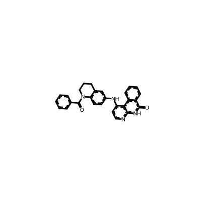 O=C(c1ccccc1)N1CCCc2cc(Nc3ccnc4[nH]c(=O)c5ccccc5c34)ccc21